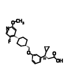 COc1cc([C@H]2CC[C@@H](COc3cccc([C@@H](CC(=O)O)C4CC4)c3)CC2)c(F)cn1